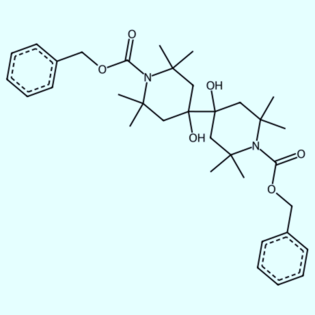 CC1(C)CC(O)(C2(O)CC(C)(C)N(C(=O)OCc3ccccc3)C(C)(C)C2)CC(C)(C)N1C(=O)OCc1ccccc1